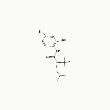 CC(C)C[C](C(=O)Nc1ccc(Br)cc1N)C(C)(C)C